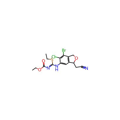 CCOC(=O)/N=C(/Nc1cc2c(c(Br)c1Cl)COC2CC#N)SCC